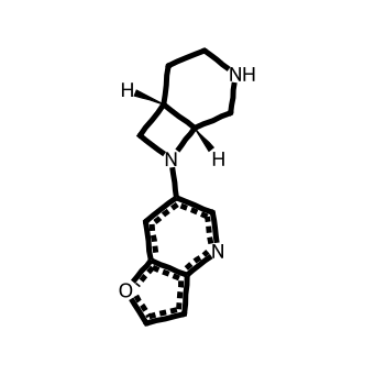 c1cc2ncc(N3C[C@@H]4CCNC[C@@H]43)cc2o1